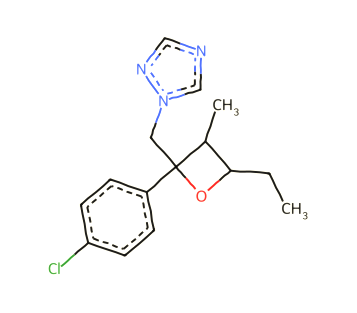 CCC1OC(Cn2cncn2)(c2ccc(Cl)cc2)C1C